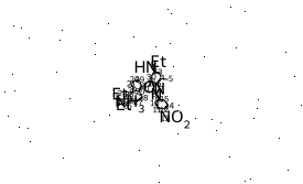 CCNc1cc(C)c(N=Nc2ccc([N+](=O)[O-])cc2)c(Oc2cccc3c(CC)c(CC)ccc23)c1.N